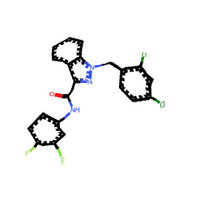 O=C(Nc1ccc(F)c(F)c1)c1nn(Cc2ccc(Cl)cc2Cl)c2ccccc12